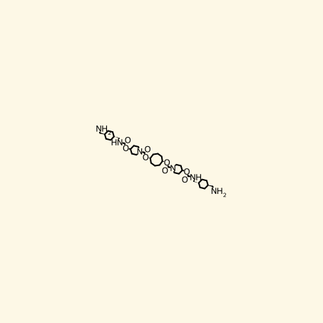 NC[C@H]1CC[C@H](CNC(=O)OC2CCN(C(=O)O[C@H]3CCC[C@@H](OC(=O)N4CCC(OC(=O)NC[C@H]5CC[C@H](CN)CC5)CC4)CCC3)CC2)CC1